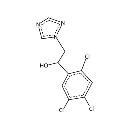 OC(Cn1cncn1)c1cc(Cl)c(Cl)cc1Cl